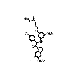 COc1cc(NC(C(=O)N2CCc3cc(OC)c(C(F)(F)F)cc32)c2ccc(Cl)cc2)cc(OCCCC(=O)OC(C)(C)C)c1